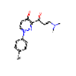 CN(C)C=CC(=O)c1nn(-c2ccc(C#N)cc2)ccc1=O